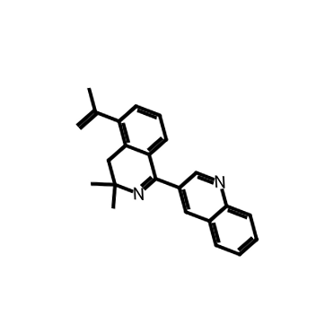 C=C(C)c1cccc2c1CC(C)(C)N=C2c1cnc2ccccc2c1